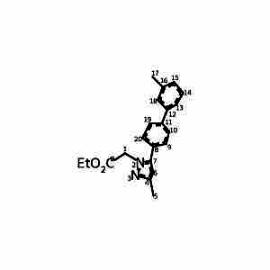 CCOC(=O)Cn1nc(C)cc1-c1ccc(-c2cccc(C)c2)cc1